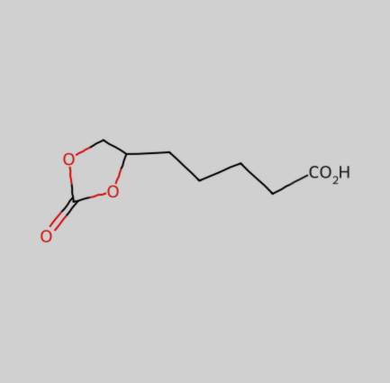 O=C(O)CCCCC1COC(=O)O1